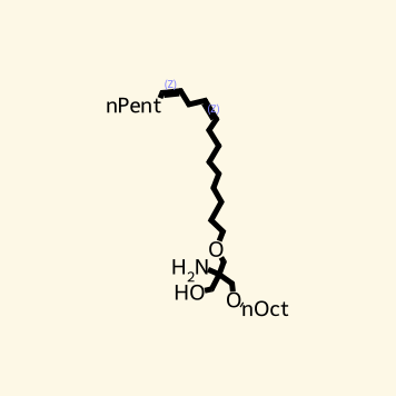 CCCCC/C=C\C/C=C\CCCCCCCCOCC(N)(CO)COCCCCCCCC